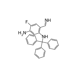 N=Cc1cc(F)c(N)cc1NC(c1ccccc1)(c1ccccc1)c1ccccc1